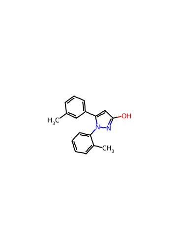 Cc1cccc(-c2cc(O)nn2-c2ccccc2C)c1